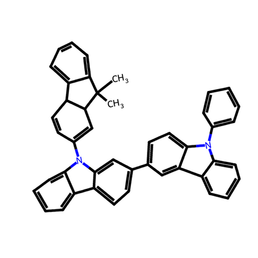 CC1(C)c2ccccc2C2C=CC(n3c4ccccc4c4ccc(-c5ccc6c(c5)c5ccccc5n6-c5ccccc5)cc43)=CC21